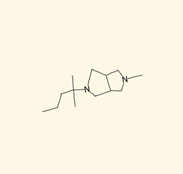 CCCC(C)(C)N1CC2CN(C)CC2C1